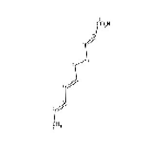 CC=CC=CCCC=CC(=O)O